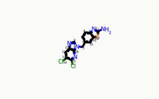 Nc1nc2ccc(Cn3cnc4cc(Cl)c(Cl)nc43)cc2s1